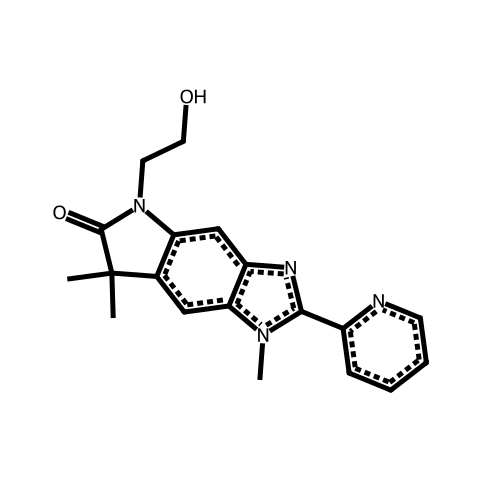 Cn1c(-c2ccccn2)nc2cc3c(cc21)C(C)(C)C(=O)N3CCO